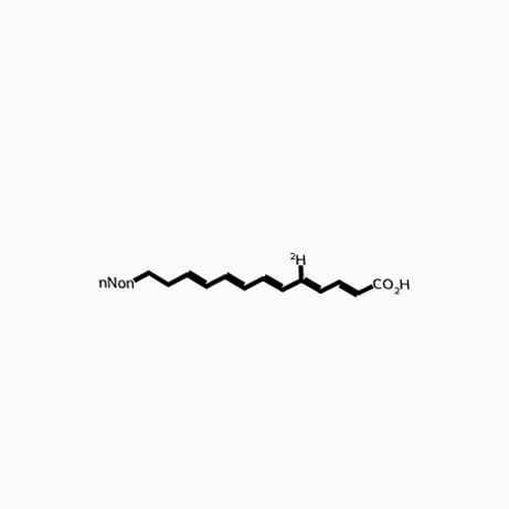 [2H]C(C=CC=CC=CCCCCCCCCCCC)=CC=CC(=O)O